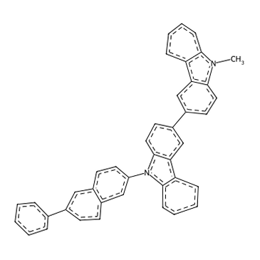 Cn1c2ccccc2c2cc(-c3ccc4c(c3)c3ccccc3n4-c3ccc4cc(-c5ccccc5)ccc4c3)ccc21